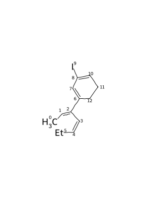 C/C=C(\C=C/CC)C1=CC(I)=CCC1